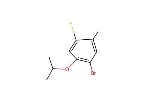 Cc1cc(Br)c(OC(C)C)cc1F